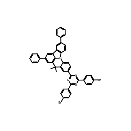 CC1(C)c2cc(-c3nc(-c4ccc(Br)cc4)nc(-c4ccc(Br)cc4)n3)ccc2-n2c3ccc(-c4ccccc4)cc3c3cc(-c4ccccc4)cc1c32